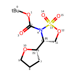 CC(C)(C)OC(=O)N1[C@@H]([C@@H]2CCCO2)COS1(=O)=O